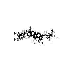 C=C(C)[C@@H]1CC[C@]2(CCNC(=O)OC(C)(C)C)CC[C@]3(C)C(CCC4[C@@]5(C)CC[C@H](OC(=O)CC(C)(C)CC(=O)O)C(C)(C)C5CC[C@]43C)C12